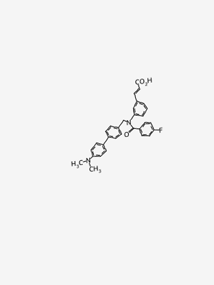 CN(C)c1ccc(-c2ccc(CN(C(=O)c3ccc(F)cc3)c3cccc(/C=C/C(=O)O)c3)cc2)cc1